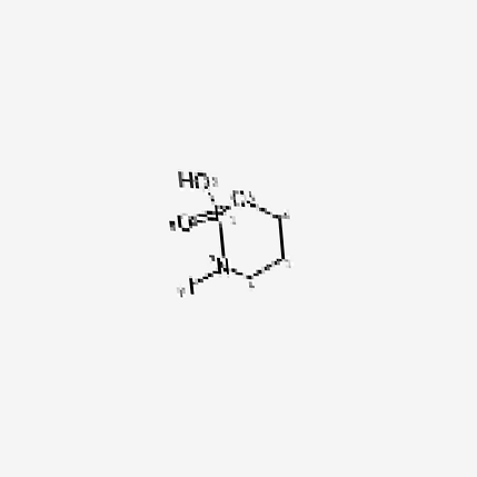 O=P1(O)OCCCN1I